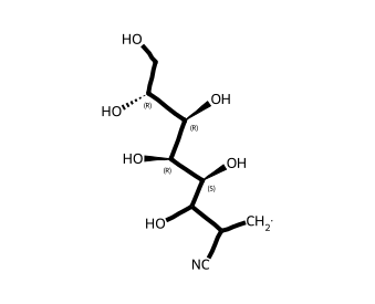 [CH2]C(C#N)C(O)[C@H](O)[C@@H](O)[C@H](O)[C@H](O)CO